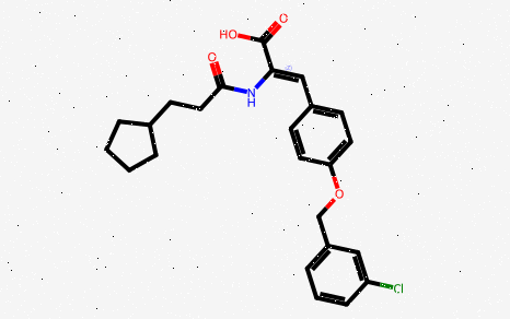 O=C(CCC1CCCC1)N/C(=C\c1ccc(OCc2cccc(Cl)c2)cc1)C(=O)O